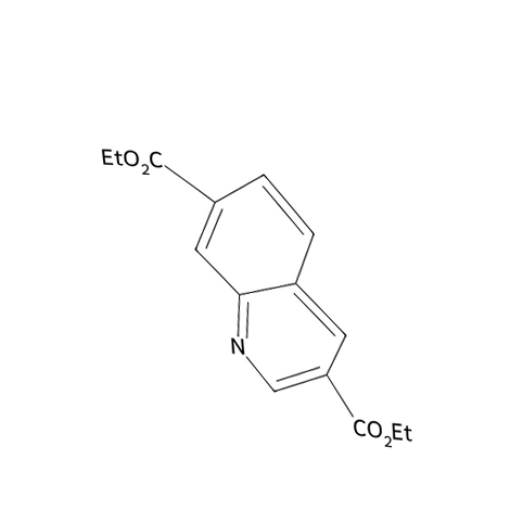 CCOC(=O)c1cnc2cc(C(=O)OCC)ccc2c1